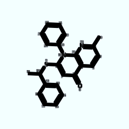 Cc1ccc2c(=O)cc(SC(C)c3ccccc3)n(-c3ccccc3)c2n1